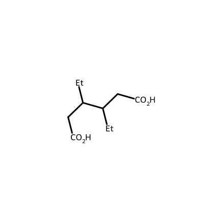 CCC(CC(=O)O)C(CC)CC(=O)O